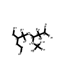 FCCC(CF)C(F)(F)OC(OC(F)(F)F)C(F)(F)C(F)F